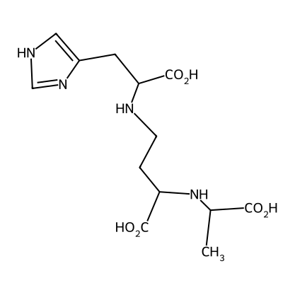 CC(NC(CCNC(Cc1c[nH]cn1)C(=O)O)C(=O)O)C(=O)O